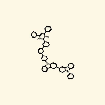 IN1C(C2=CC(C3C=CC=C(C4=CC=C(N5c6ccccc6C6CC(C7C=C8C9CCC=CC9N(C9=CC=CCC9)C8CC7)C=CC65)CC4)C3)=CCC2)NC(C2=CCCC=C2)=CC1C1C=CC=CC1